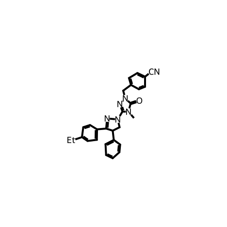 CCc1ccc(C2=NN(c3nn(Cc4ccc(C#N)cc4)c(=O)n3C)CC2c2ccccc2)cc1